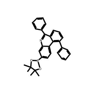 CC1(C)OB(c2ccc3c(c2)nc(-c2ccccc2)c2cccc(-c4ccccc4)c23)OC1(C)C